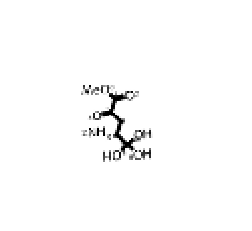 COC(=O)C(=O)CCC(O)(O)O.N